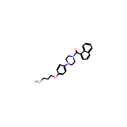 O=C(O)CCCOc1ccc(N2CCN(C(=O)c3cccc4ccccc34)CC2)cc1